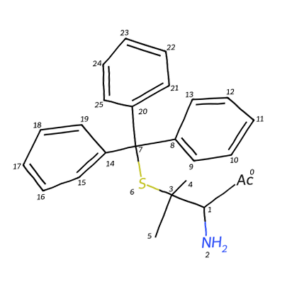 CC(=O)C(N)C(C)(C)SC(c1ccccc1)(c1ccccc1)c1ccccc1